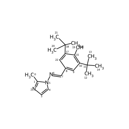 Cc1nccn1/N=C/c1cc(C(C)(C)C)c(O)c(C(C)(C)C)c1